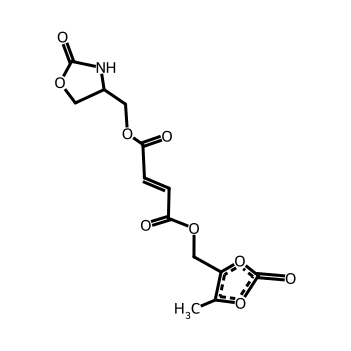 Cc1oc(=O)oc1COC(=O)C=CC(=O)OCC1COC(=O)N1